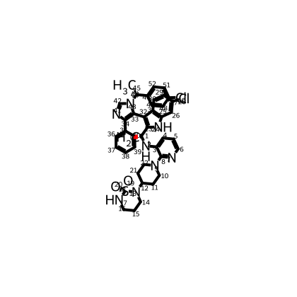 C=C(Nc1cccnc1N1CCC(N2CCCNS2(=O)=O)CC1)c1[nH]c2cc(Cl)ccc2c1-c1c(-c2ccccc2)ncn1[C@@H](C)c1ccc(Cl)cc1